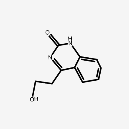 O=c1nc(CCO)c2ccccc2[nH]1